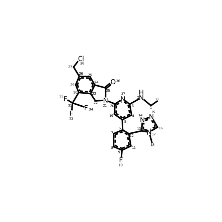 CCNc1cc(-c2ccc(F)cc2-c2nncn2C)cc(N2Cc3c(cc(CCl)cc3C(F)(F)F)C2=O)n1